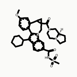 COc1ccc2c(c1)C1CC1(C(=O)N1CCN3CCC[C@@H]3C1)Cn1c-2c(C2CCCCC2)c2ccc(C(=O)NS(C)(=O)=O)cc21